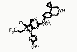 CC(C)(C)c1csc(-n2c3nc(Nc4ccc5c(c4)CNCC54CC4)ncc3c(=O)n2CC(F)(F)F)n1